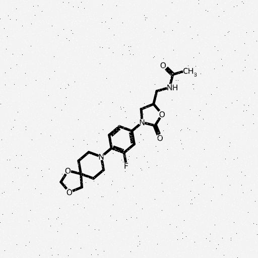 CC(=O)NCC1CN(c2ccc(N3CCC4(CC3)COCO4)c(F)c2)C(=O)O1